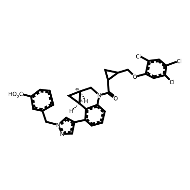 O=C(O)c1cccc(Cn2cc(-c3cccc4c3[C@H]3C[C@H]3CN4C(=O)C3CC3COc3cc(Cl)c(Cl)cc3Cl)cn2)c1